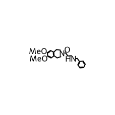 COc1cc2c(cc1OC)CCN(C(=O)CCNCc1ccccc1)CC2